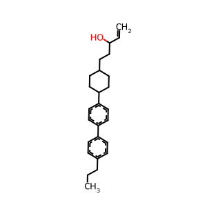 C=CC(O)CCC1CCC(c2ccc(-c3ccc(CCC)cc3)cc2)CC1